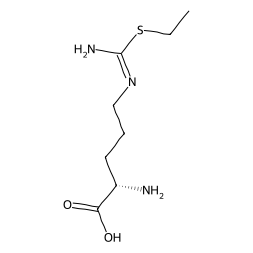 CCSC(N)=NCCC[C@H](N)C(=O)O